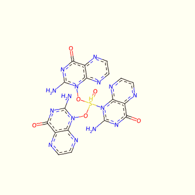 Nc1nc(=O)c2nccnc2n1O[SH](=O)(On1c(N)nc(=O)c2nccnc21)n1c(N)nc(=O)c2nccnc21